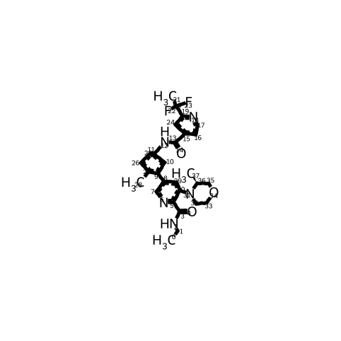 CCNC(=O)c1ncc(-c2cc(NC(=O)c3ccnc(C(C)(F)F)c3)ccc2C)cc1N1CCOC[C@H]1C